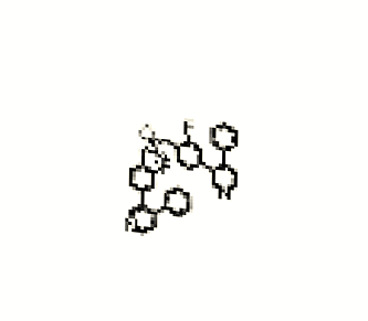 O=S(=O)(Cc1ccc(-c2cnccc2-c2ccccc2)cc1F)Cc1ccc(-c2cnccc2-c2ccccc2)cc1F